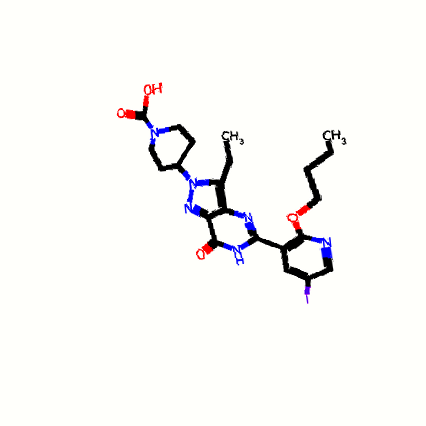 CCCCOc1ncc(I)cc1-c1nc2c(CC)n(C3CCN(C(=O)O)CC3)nc2c(=O)[nH]1